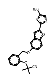 CC(C)(C#N)Oc1ccccc1COc1ccc2oc(-c3nc(C(C)(C)C)cs3)cc2c1